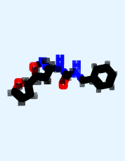 O=C(NCc1ccccc1)Nc1cc(-c2ccco2)on1